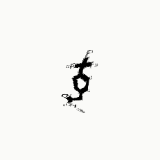 CC(=O)Cc1ccc(C(F)(F)F)cc1